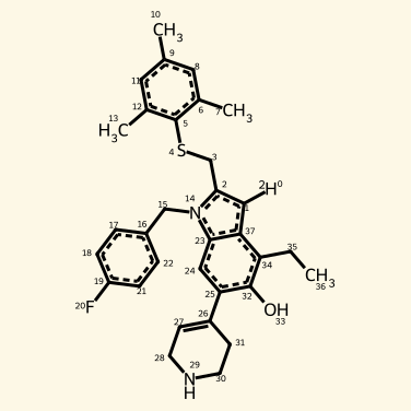 [2H]c1c(CSc2c(C)cc(C)cc2C)n(Cc2ccc(F)cc2)c2cc(C3=CCNCC3)c(O)c(CC)c12